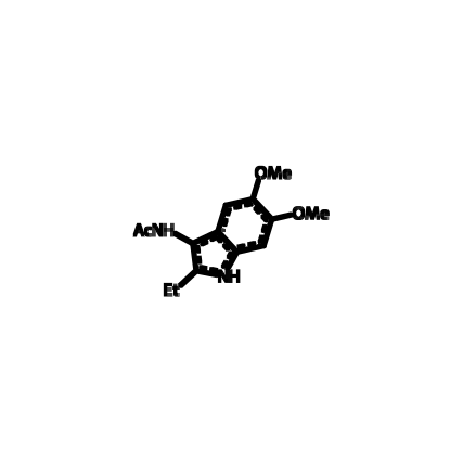 CCc1[nH]c2cc(OC)c(OC)cc2c1NC(C)=O